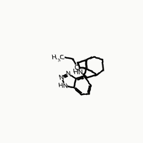 CCOC1(c2cccc3[nH]nnc23)C2CCCC1CNC2